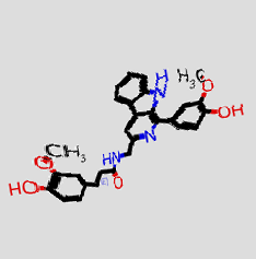 COc1cc(/C=C/C(=O)NCc2cc3c([nH]c4ccccc43)c(-c3ccc(O)c(OC)c3)n2)ccc1O